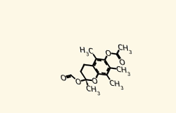 CC(=O)Oc1c(C)c(C)c2c(c1C)CC[C@@](C)(OC=O)O2